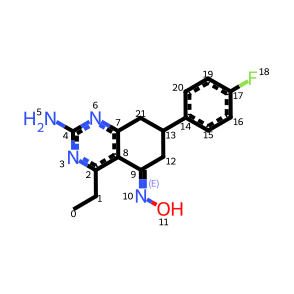 CCc1nc(N)nc2c1/C(=N/O)CC(c1ccc(F)cc1)C2